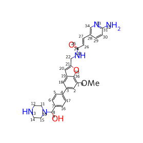 COc1cc(-c2ccc(C(O)N3CCNCC3)cc2)cc2cc(CNC(=O)/C=C/c3ccc(N)nc3)oc12